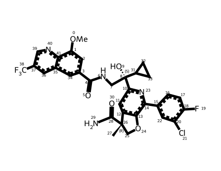 COc1cc(C(=O)NC[C@](O)(c2cc3c(c(-c4ccc(F)c(Cl)c4)n2)OC[C@]3(C)C(N)=O)C2CC2)cc2cc(C(F)(F)F)cnc12